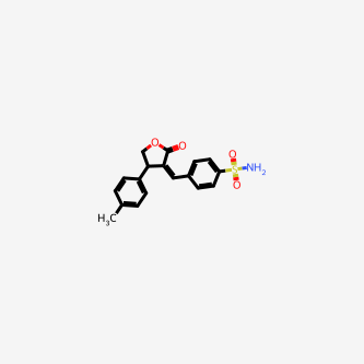 Cc1ccc(C2COC(=O)C2=Cc2ccc(S(N)(=O)=O)cc2)cc1